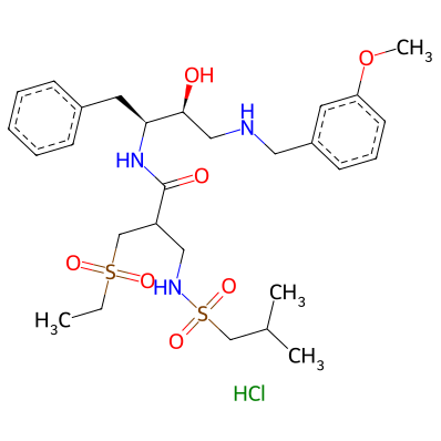 CCS(=O)(=O)CC(CNS(=O)(=O)CC(C)C)C(=O)N[C@@H](Cc1ccccc1)[C@@H](O)CNCc1cccc(OC)c1.Cl